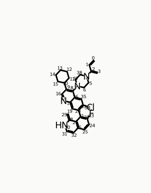 C=CC(=C)N1CCN(c2c(C3CCCCC3)cnc3cc(-c4c(F)ccc5c4C(=C)NC=C5)c(Cl)cc23)CC1